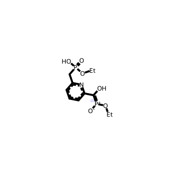 CCO/[P+]([O-])=C(\O)c1cccc(CP(=O)(O)OCC)n1